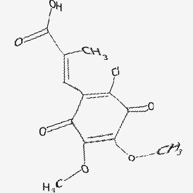 COC1=C(OC)C(=O)C(/C=C(\C)C(=O)O)=C(Cl)C1=O